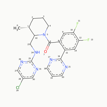 C[C@@H]1CCCN(C(=O)c2cc(F)c(F)cc2-c2ncccn2)C1CNc1ncc(Cl)cn1